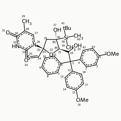 COc1ccc(C(c2ccccc2)(c2ccc(OC)cc2)C(O)[C@H]2O[C@@](C=S)(n3cc(C)c(=O)[nH]c3=O)C[C@@]2(O)[Si](C)(C)C(C)(C)C)cc1